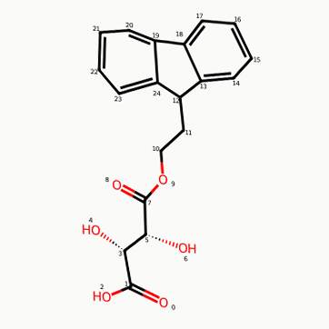 O=C(O)[C@H](O)[C@@H](O)C(=O)OCCC1c2ccccc2-c2ccccc21